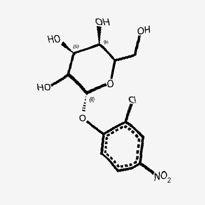 O=[N+]([O-])c1ccc(O[C@H]2OC(CO)[C@H](O)[C@H](O)C2O)c(Cl)c1